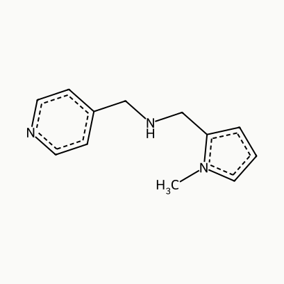 Cn1cccc1CNCc1ccncc1